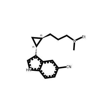 CCN(C)CCC[C@@H]1C[C@H]1c1c[nH]c2ccc(C#N)cc12